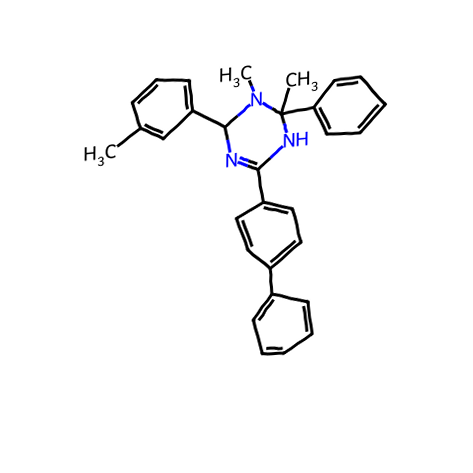 Cc1cccc(C2N=C(c3ccc(-c4ccccc4)cc3)NC(C)(c3ccccc3)N2C)c1